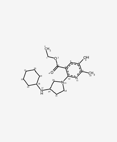 CCOC(=O)c1cc(O)c(C)nc1N1CCC(NC2CCCCC2)C1